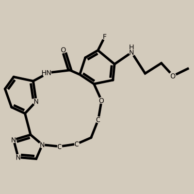 COCCNc1cc2c(cc1F)C(=O)Nc1cccc(n1)-c1nncn1CCCCO2